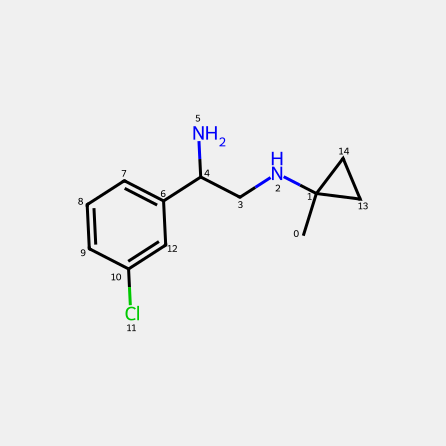 CC1(NCC(N)c2cccc(Cl)c2)CC1